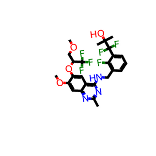 COCC(Oc1cc2c(NCc3cccc(C(F)(F)C(C)(C)O)c3F)nc(C)nc2cc1OC)C(F)(F)F